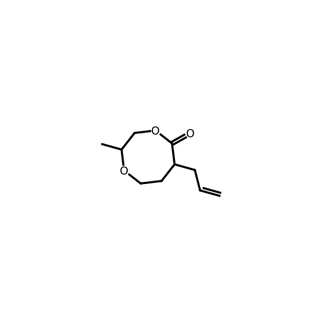 C=CCC1CCOC(C)COC1=O